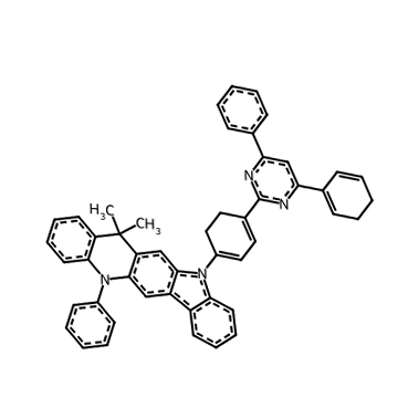 CC1(C)c2ccccc2N(c2ccccc2)c2cc3c4ccccc4n(C4=CC=C(c5nc(C6=CCCC=C6)cc(-c6ccccc6)n5)CC4)c3cc21